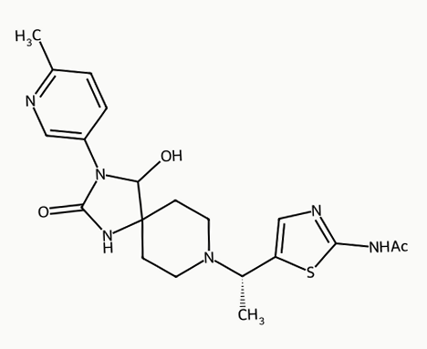 CC(=O)Nc1ncc([C@H](C)N2CCC3(CC2)NC(=O)N(c2ccc(C)nc2)C3O)s1